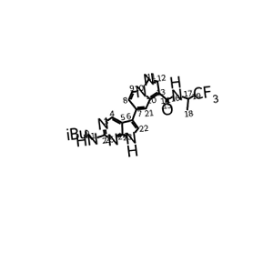 CC[C@H](C)Nc1ncc2c(-c3ccn4ncc(C(=O)NC(C)C(F)(F)F)c4c3)c[nH]c2n1